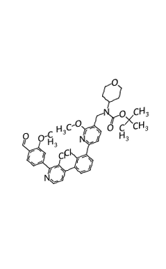 COc1cc(-c2nccc(-c3cccc(-c4ccc(CN(C(=O)OC(C)(C)C)C5CCOCC5)c(OC)n4)c3Cl)c2Cl)ccc1C=O